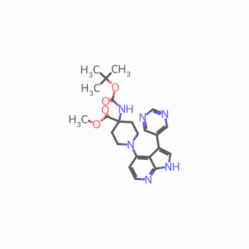 COC(=O)C1(NC(=O)OC(C)(C)C)CCN(c2ccnc3[nH]cc(-c4cncnc4)c23)CC1